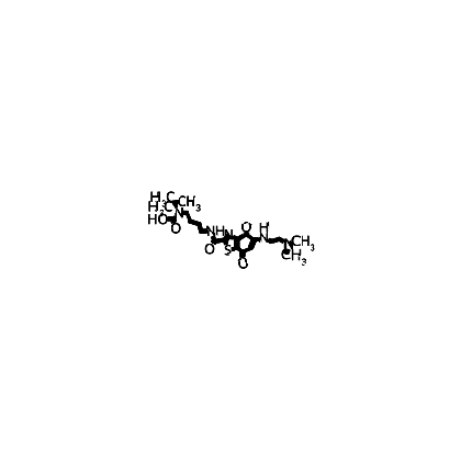 CN(C)CCNC1=CC(=O)c2sc(C(=O)NCCCCN(C(=O)O)C(C)(C)C)nc2C1=O